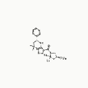 CCC1(CC)C[C@H](OC)CN1C(=O)c1cnn2c1N[C@@H](c1ccccc1)CC2(C)C